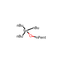 CCCCC[O][Sn]([CH2]CCC)([CH2]CCC)[CH2]CCC